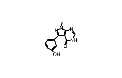 Cn1nc(-c2cccc(O)c2)c2c(=O)[nH]cnc21